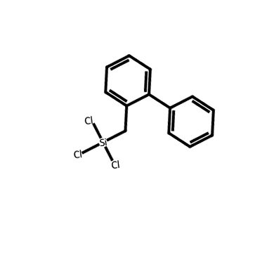 Cl[Si](Cl)(Cl)Cc1ccccc1-c1ccccc1